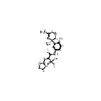 C[C@@]1(c2cc(NC(=O)C(CC3CCCO3)C(F)(F)F)ccc2F)COCC(N)=N1